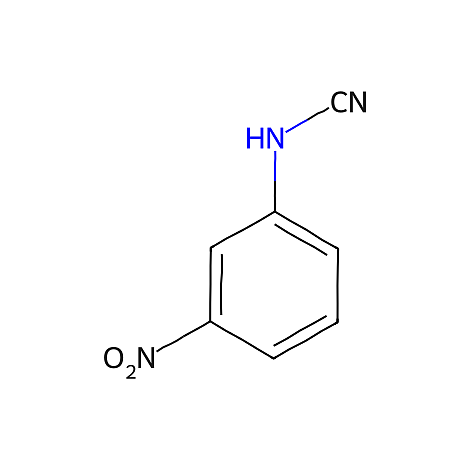 N#CNc1cccc([N+](=O)[O-])c1